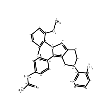 COc1cccc(C)c1-n1nc2c(c1-c1ccc(NC(N)=O)cc1)CN(c1ncccc1C)CC2